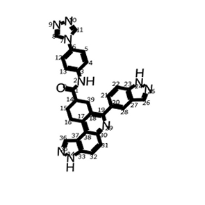 O=C(Nc1ccc(-n2cnnc2)cc1)C1CCc2c(c(-c3ccc4[nH]ncc4c3)nc3ccc4[nH]ncc4c23)C1